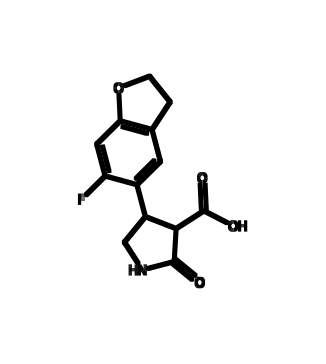 O=C(O)C1C(=O)NCC1c1cc2c(cc1F)OCC2